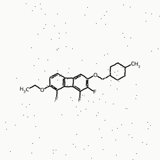 CCOc1ccc2c(c1F)-c1c-2cc(OCC2CCC(C)CC2)c(F)c1F